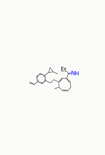 C=Cc1ccc(C2CC2C)c(CC/C2=C/C(C(=N)CC)=C\CC=CC2C)c1